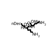 CCCCCCCCCCCCC(=O)NC(CCCCN)C(=O)NC(CCCCN)C(=O)OC